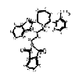 Cc1cccnc1[C@@H]1CCC[C@H](c2nc3ccccc3[nH]2)N1CCCCN1C(=O)c2ccccc2C1=O